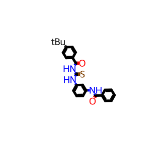 CC(C)(C)c1ccc(C(=O)NC(=S)Nc2cccc(NC(=O)c3ccccc3)c2)cc1